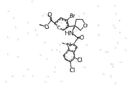 COC(=O)c1ccc(C2(NC(=O)c3cc4c(Cl)c(Cl)ccc4n3C)CCOC2)c(Br)c1